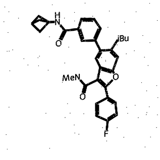 CCC(C)c1cc2oc(-c3ccc(F)cc3)c(C(=O)NC)c2cc1-c1cccc(C(=O)NC23CC(C2)C3)c1